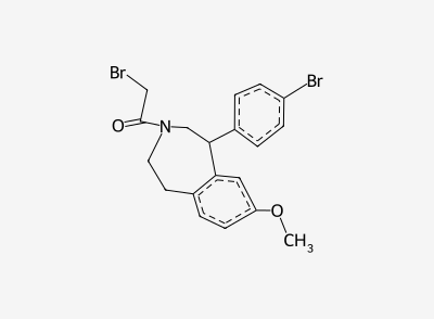 COc1ccc2c(c1)C(c1ccc(Br)cc1)CN(C(=O)CBr)CC2